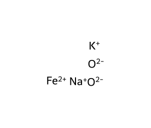 [Fe+2].[K+].[Na+].[O-2].[O-2]